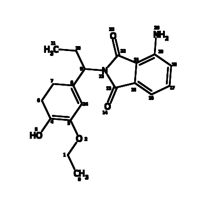 CCOC1=C(O)CCC(C(CC)N2C(=O)c3cccc(N)c3C2=O)=C1